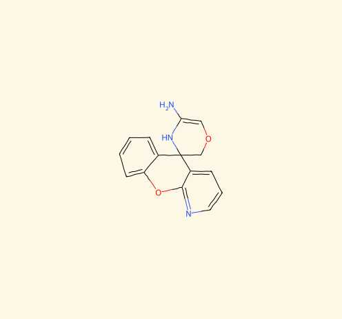 NC1=COCC2(N1)c1ccccc1Oc1ncccc12